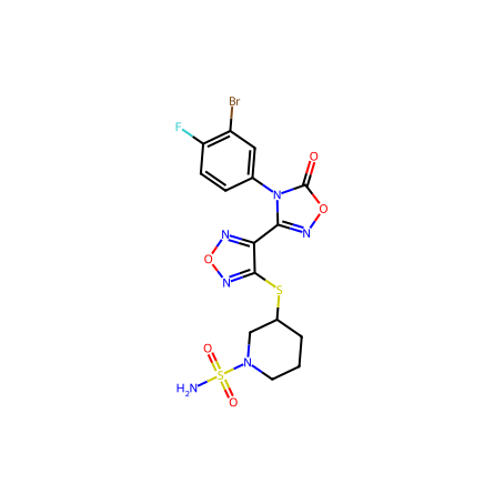 NS(=O)(=O)N1CCCC(Sc2nonc2-c2noc(=O)n2-c2ccc(F)c(Br)c2)C1